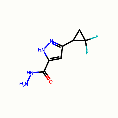 NNC(=O)c1cc(C2CC2(F)F)n[nH]1